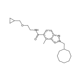 Cc1c(C(=O)NCCOCC2CC2)ccc2nn(CC3CCCCCCC3)cc12